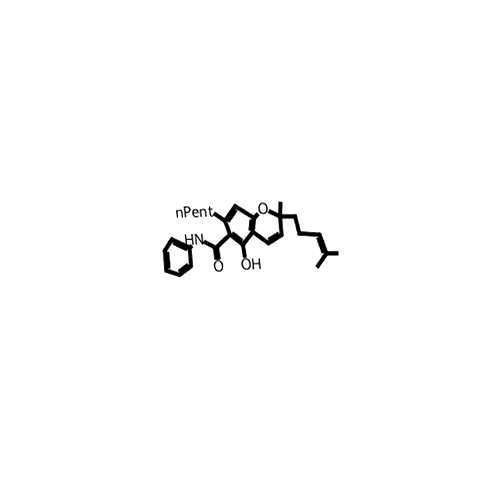 CCCCCc1cc2c(c(O)c1C(=O)Nc1ccccc1)C=CC(C)(CCC=C(C)C)O2